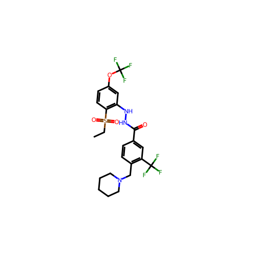 CCS(=O)(=O)c1ccc(OC(F)(F)F)cc1NNC(=O)c1ccc(CN2CCCCC2)c(C(F)(F)F)c1